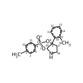 Cc1ccc(S(=O)(=O)O[C@]2(c3ccccc3C)CCNC2)cc1